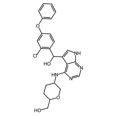 OCC1CCC(Nc2ncnc3[nH]cc(C(O)c4ccc(Oc5ccccc5)cc4Cl)c23)CO1